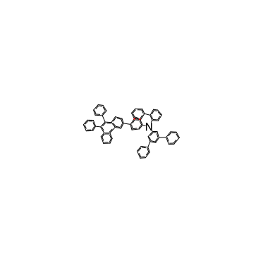 c1ccc(-c2cc(-c3ccccc3)cc(N(c3ccc(-c4ccc5c(-c6ccccc6)c(-c6ccccc6)c6ccccc6c5c4)cc3)c3ccccc3-c3ccccc3)c2)cc1